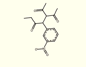 CCC(=O)C(c1cccc([N+](=O)[O-])c1)C(C(C)=O)C(C)=O